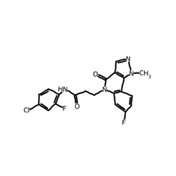 Cn1ncc2c(=O)n(CCC(=O)Nc3ccc(Cl)cc3F)c3cc(F)ccc3c21